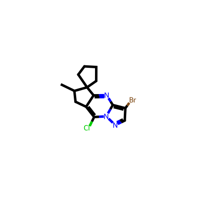 CC1Cc2c(nc3c(Br)cnn3c2Cl)C12CCCC2